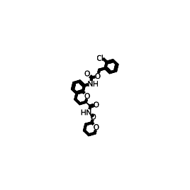 O=C(Nc1cccc2c1O[C@@H](C(=O)NOC1CCCCO1)CC2)OCc1ccccc1Cl